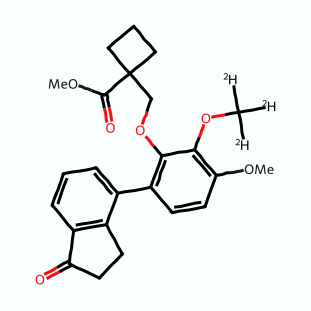 [2H]C([2H])([2H])Oc1c(OC)ccc(-c2cccc3c2CCC3=O)c1OCC1(C(=O)OC)CCC1